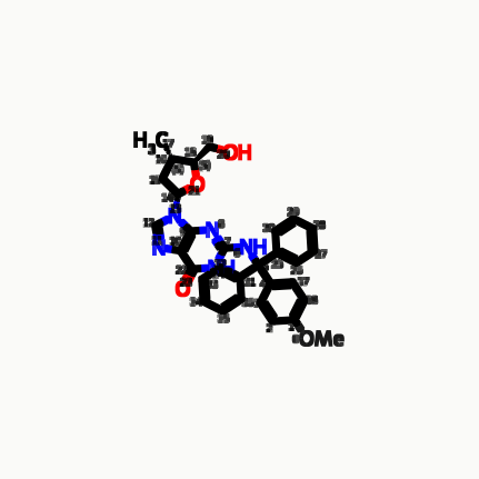 COc1ccc(C(Nc2nc3c(ncn3[C@H]3C[C@H](C)[C@@H](CO)O3)c(=O)[nH]2)(c2ccccc2)c2ccccc2)cc1